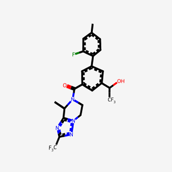 Cc1ccc(-c2cc(C(=O)N3CCn4nc(C(F)(F)F)nc4C3C)cc(C(O)C(F)(F)F)c2)c(F)c1